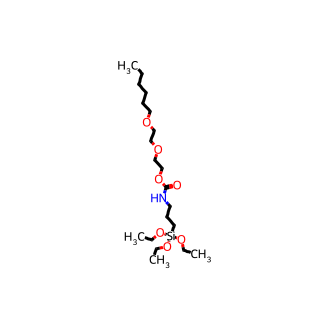 CCCCCCOCCOCCOC(=O)NCCC[Si](OCC)(OCC)OCC